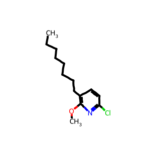 CCCCCCCCc1ccc(Cl)nc1OC